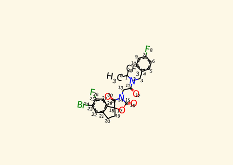 CC(N(Cc1ccc(F)cc1)C(=O)CN1C(=O)OC2(CCc3cc(Br)c(F)cc32)C1=O)C(F)(F)F